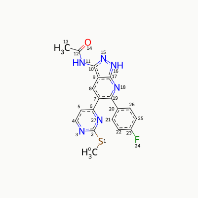 CSc1nccc(-c2cc3c(NC(C)=O)n[nH]c3nc2-c2ccc(F)cc2)n1